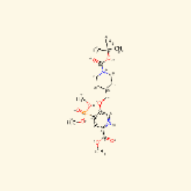 COC(=O)c1cc(P(=O)(OC)OC)c(OCC2CCN(C(=O)OC(C)(C)C)CC2)cn1